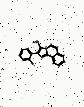 CC(=O)Nc1c(-c2ccccc2F)nc2c3ccccc3ccn12